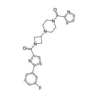 O=C(c1csc(-c2cccc(F)c2)n1)N1CC(N2CCN(C(=O)c3nccs3)CC2)C1